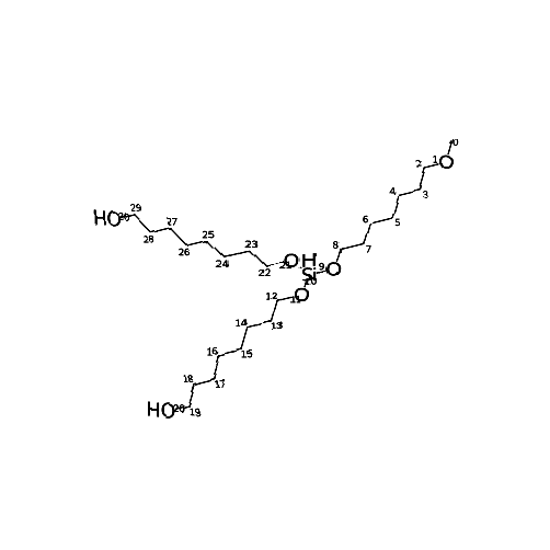 COCCCCCCCO[SiH](OCCCCCCCCO)OCCCCCCCCO